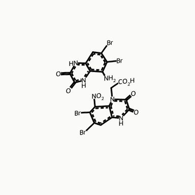 Nc1c(Br)c(Br)cc2[nH]c(=O)c(=O)[nH]c12.O=C(O)Cn1c(=O)c(=O)[nH]c2cc(Br)c(Br)c([N+](=O)[O-])c21